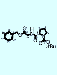 CC(C)(C)OC(=O)N1CCC[C@H]1C(=O)NCC(=O)OCc1ccccc1